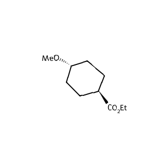 CCOC(=O)[C@H]1CC[C@H](OC)CC1